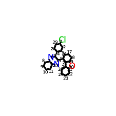 Clc1ccc(-c2nc3ccccc3nc2-c2cccc3oc4ccccc4c23)cc1